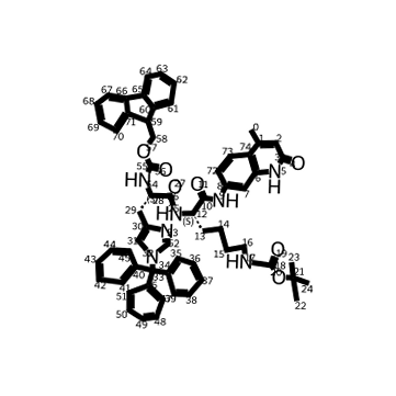 Cc1cc(=O)[nH]c2cc(NC(=O)[C@H](CCCCNC(=O)OC(C)(C)C)NC(=O)[C@H](Cc3cn(C(c4ccccc4)(c4ccccc4)c4ccccc4)cn3)NC(=O)OCC3c4ccccc4-c4ccccc43)ccc12